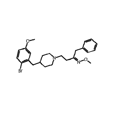 CO/N=C(/CCN1CCC(Cc2cc(OC)ccc2Br)CC1)Cc1ccccc1